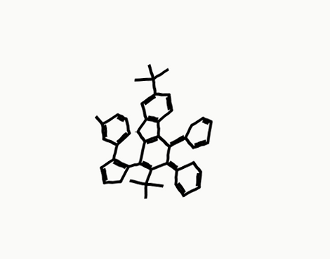 Cc1cccc(C2=C(c3c4c(c(=C5C=CC=CC5)c(=C5C=CC=CC5)c3C(C)(C)C)-c3ccc(C(C)(C)C)cc3[CH]4)CC=C2)c1